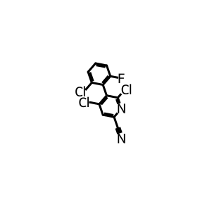 N#Cc1cc(Cl)c(-c2c(F)cccc2Cl)c(Cl)n1